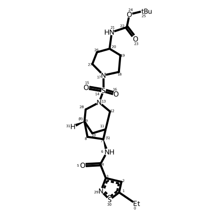 CCc1cc(C(=O)N[C@H]2C[C@H]3CC2CN(S(=O)(=O)N2CCC(NC(=O)OC(C)(C)C)CC2)C3)ns1